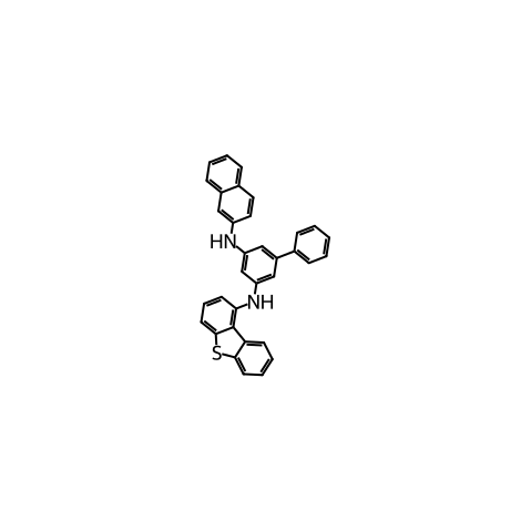 c1ccc(-c2cc(Nc3ccc4ccccc4c3)cc(Nc3cccc4sc5ccccc5c34)c2)cc1